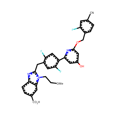 COCCn1c(Cc2cc(F)c(-c3cc(O)cc(OCc4ccc(C#N)cc4F)n3)cc2F)nc2ccc(C(=O)O)cc21